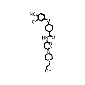 N#Cc1ccc(OC2CCC(C(=O)Nc3ccc(N4CCN(CCO)CC4)nn3)CC2)cc1Cl